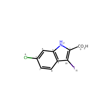 O=C(O)c1[nH]c2cc(Cl)ccc2c1I